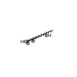 CCCCCC(O)C=CCCCC=CC=CC(=O)CC=CC(=O)O